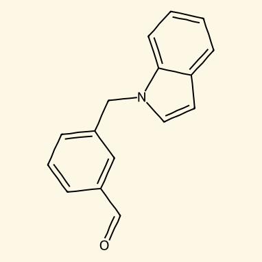 O=Cc1cccc(Cn2ccc3ccccc32)c1